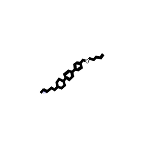 C=CCCCOCc1ccc(-c2ccc(C3CCC(CC/C=C/C)CC3)cc2)cc1